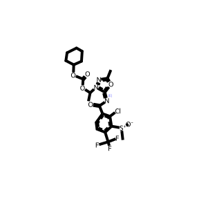 Cc1nn(C(C)OC(=O)OC2CCCCC2)/c(=N\C(=O)c2ccc(C(F)(F)F)c([S+](C)[O-])c2Cl)o1